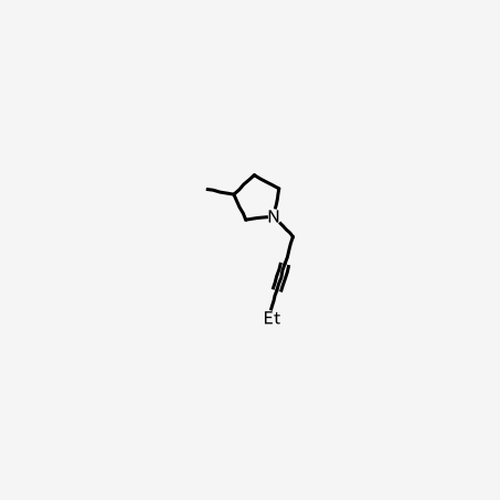 CCC#CCN1CCC(C)C1